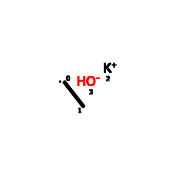 [CH2]C.[K+].[OH-]